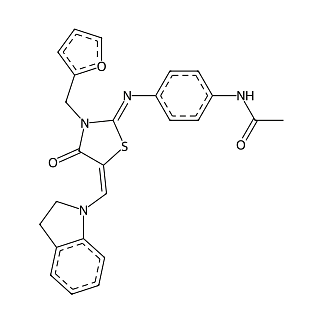 CC(=O)Nc1ccc(/N=C2\SC(=CN3CCc4ccccc43)C(=O)N2Cc2ccco2)cc1